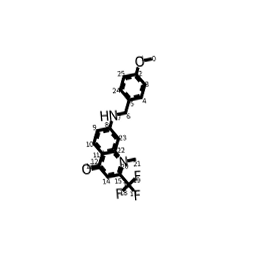 COc1ccc(CNc2ccc3c(=O)cc(C(F)(F)F)n(C)c3c2)cc1